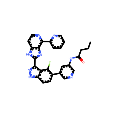 CCCC(=O)Nc1cncc(-c2ccc3[nH]nc(-c4nc5c(-c6ccccn6)nccc5[nH]4)c3c2F)c1